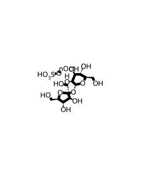 CCCCCCCCOS(=O)(=O)O.OC[C@H]1O[C@@](CO)(O[C@H]2O[C@H](CO)[C@@H](O)[C@H](O)[C@H]2O)[C@@H](O)[C@@H]1O